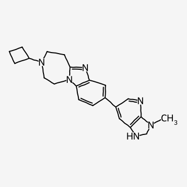 CN1CNc2cc(-c3ccc4c(c3)nc3n4CCN(C4CCC4)CC3)cnc21